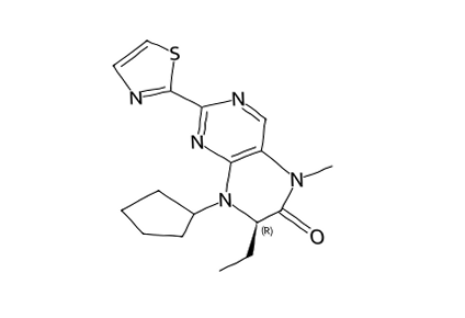 CC[C@@H]1C(=O)N(C)c2cnc(-c3nccs3)nc2N1C1CCCC1